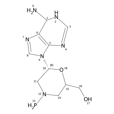 NC1NC=Nc2c1ncn2[C@H]1CN(P)CC(CO)O1